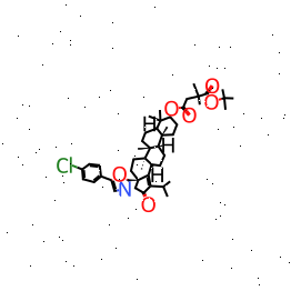 CC(C)C1=C2[C@H]3CC[C@@H]4[C@@]5(C)CC[C@H](OC(=O)CC(C)(C)C(=O)OC(C)(C)C)C(C)(C)[C@@H]5CC[C@@]4(C)[C@]3(C)CC[C@@]2(c2ncc(-c3ccc(Cl)cc3)o2)CC1=O